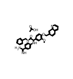 CC(=O)O.COc1cc(C(Nc2ccc(C(=N)N)cc2)C(=O)NCc2ccccc2)ccc1OCc1ccc2cccnc2c1